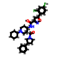 O=C(N[C@@H]1CCN(C2CCCCC2)C[C@H]1C(=O)N1CCC(c2ccccc2)C1)c1cc(-c2ccc(F)cc2F)on1